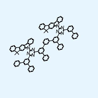 CC1(C)c2ccccc2-c2cc3c4ccccc4n(-c4nc(-c5cccc(-c6ccccc6)c5)nc(-c5cc(-c6ccccc6)cc(-c6cccc(-c7cc(-c8ccccc8)cc(-c8nc(-c9cc(-c%10ccccc%10)cc(-c%10ccccc%10)c9)nc(-n9c%10ccccc%10c%10cc%11c(cc%109)C(C)(C)c9ccccc9-%11)n8)c7)c6)c5)n4)c3cc21